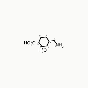 NC[C@H]1CC[C@H](C(=O)O)CC1.O